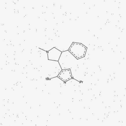 CC(C)n1cc(C2CN(C)CC2c2ccccc2)c(C(C)(C)C)n1